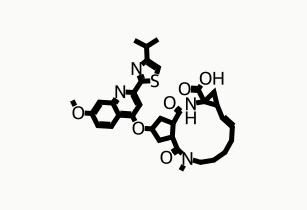 COc1ccc2c(OC3CC4C(=O)NC5(C(=O)O)CC5/C=C/CCCCN(C)C(=O)C4C3)cc(-c3nc(C(C)C)cs3)nc2c1